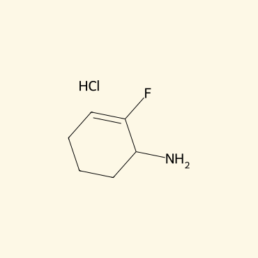 Cl.NC1CCCC=C1F